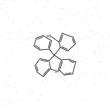 Sc1ccccc1C(c1ccccc1)(c1ccccc1)c1ccccc1S